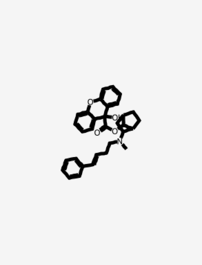 CN(CCC=Cc1ccccc1)C1CC2CCC1C2OC(=O)C1(O)c2ccccc2Oc2ccccc21